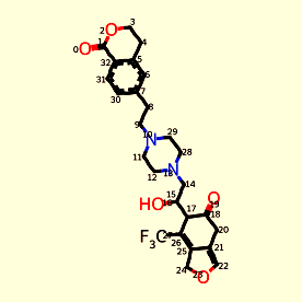 O=C1OCCc2cc(CCN3CCN(CC(O)C4C(=O)CC5=COCC5=C4C(F)(F)F)CC3)ccc21